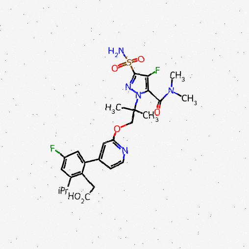 CC(C)c1cc(F)cc(-c2ccnc(OCC(C)(C)n3nc(S(N)(=O)=O)c(F)c3C(=O)N(C)C)c2)c1CC(=O)O